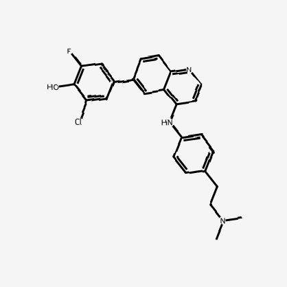 CN(C)CCc1ccc(Nc2ccnc3ccc(-c4cc(F)c(O)c(Cl)c4)cc23)cc1